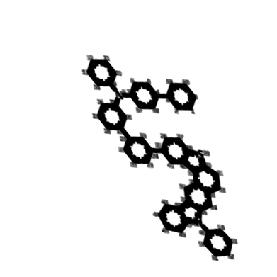 c1ccc(-c2ccc(N(c3ccccc3)c3cccc(-c4cccc(-c5ccc6sc7ccc8cc9c(cc8c7c6c5)c5ccccc5n9-c5ccccc5)c4)c3)cc2)cc1